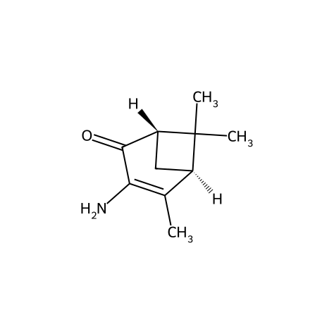 CC1=C(N)C(=O)[C@H]2C[C@H]1C2(C)C